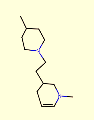 CC1CCN(CCC2CC=CN(C)C2)CC1